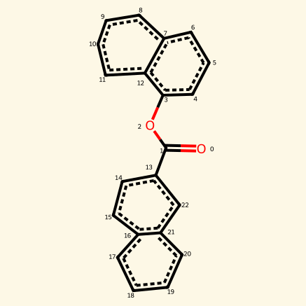 O=C(Oc1cccc2ccccc12)c1ccc2ccccc2c1